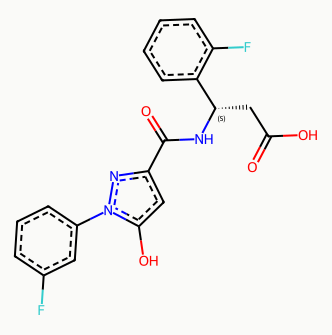 O=C(O)C[C@H](NC(=O)c1cc(O)n(-c2cccc(F)c2)n1)c1ccccc1F